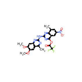 COc1cc2nc(Nc3nc(OC(=O)C(F)(F)F)c4cc([N+](=O)[O-])cc(C)c4n3)nc(C)c2cc1OC